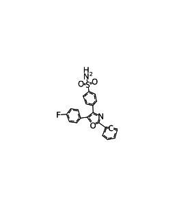 NS(=O)(=O)c1ccc(-c2nc(-c3ccccc3)oc2-c2ccc(F)cc2)cc1